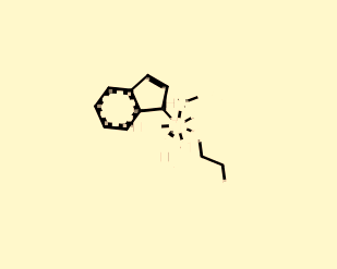 [CH2]=[Zr]([CH3])([Cl])([Cl])([NH]C(C)(C)C)([O]CCO)[CH]1C=Cc2ccccc21